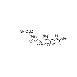 CCCCC(=O)Nc1ccc(OCCN2CCC(C(=O)NCC(=O)OC)CC2)c(-c2ccnn2C)c1